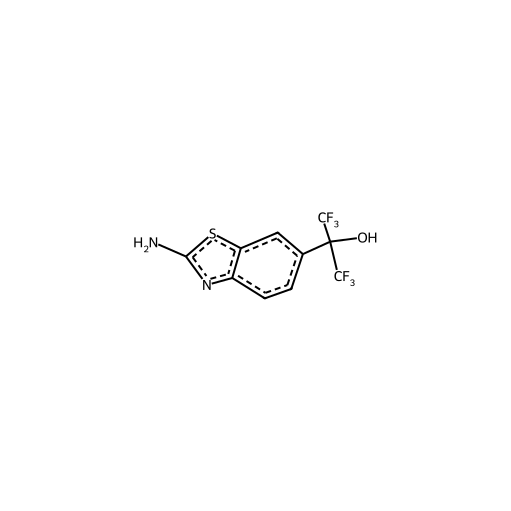 Nc1nc2ccc(C(O)(C(F)(F)F)C(F)(F)F)cc2s1